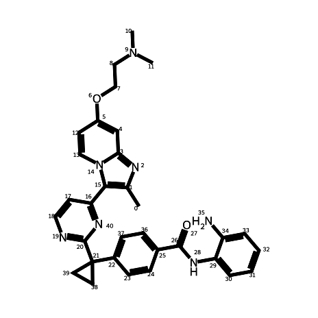 Cc1nc2cc(OCCN(C)C)ccn2c1-c1ccnc(C2(c3ccc(C(=O)Nc4ccccc4N)cc3)CC2)n1